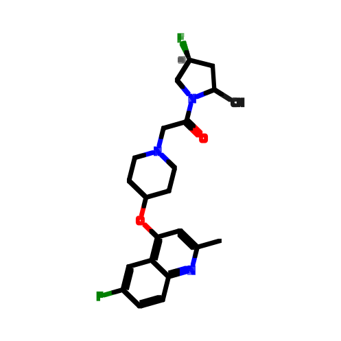 Cc1cc(OC2CCN(CC(=O)N3C[C@@H](F)CC3C#N)CC2)c2cc(F)ccc2n1